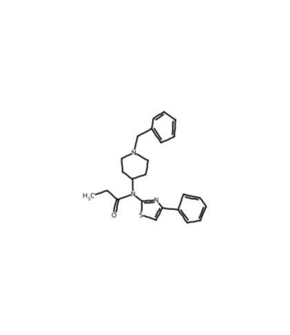 CCC(=O)N(c1nc(-c2ccccc2)cs1)C1CCN(Cc2ccccc2)CC1